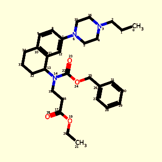 CCCN1CCN(c2ccc3c(c2)C(N(CCC(=O)OCC)C(=O)OCc2ccccc2)CCC3)CC1